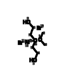 COC.OCCOCCO.[Br-].[Br-].[Ni+2]